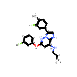 N#Cc1ccc(-c2cnc3c(NCCC(F)(F)F)cc(Oc4cccc(F)c4)nn23)cc1F